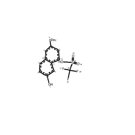 CCCCCCCCCCc1ccc2cc(O)ccc2c1.O=S(=O)(O)C(F)(F)F